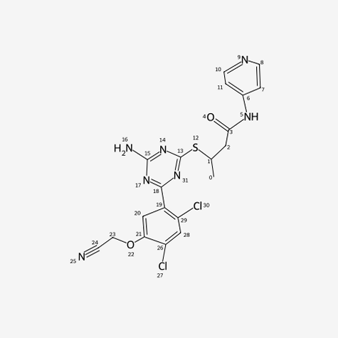 CC(CC(=O)Nc1ccncc1)Sc1nc(N)nc(-c2cc(OCC#N)c(Cl)cc2Cl)n1